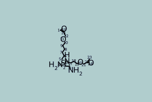 NCC[Si](N)(CCCCCCOCC1CO1)NCCCOCC1CO1